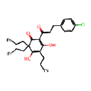 CC(C)CCC1=C(O)C(CCC(C)C)(CCC(C)C)C(=O)C(C(=O)CCc2ccc(Cl)cc2)=C1O